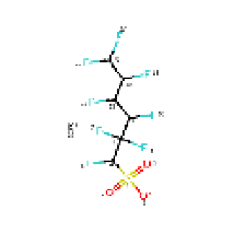 O=S(=O)([O-])C(F)C(F)(F)C(F)C(F)C(F)C(F)F.[K+]